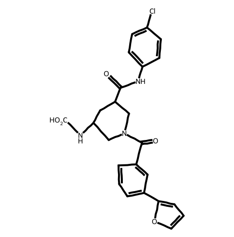 O=C(O)NC1CC(C(=O)Nc2ccc(Cl)cc2)CN(C(=O)c2cccc(-c3ccco3)c2)C1